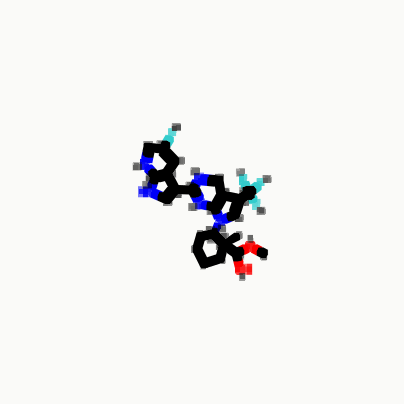 COC(O)[C@]1(C)CCCC[C@H]1n1cc(C(F)(F)F)c2cnc(-c3c[nH]c4ncc(F)cc34)nc21